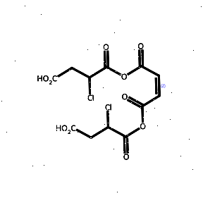 O=C(O)CC(Cl)C(=O)OC(=O)/C=C\C(=O)OC(=O)C(Cl)CC(=O)O